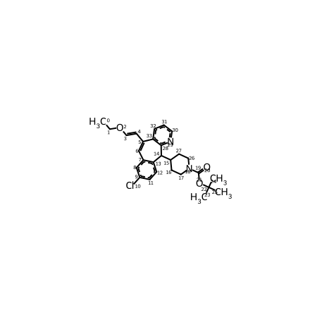 CCO/C=C/C1=Cc2cc(Cl)ccc2C(C2CCN(C(=O)OC(C)(C)C)CC2)c2ncccc21